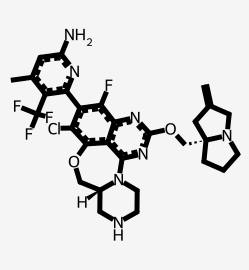 C=C1CN2CCC[C@@]2(COc2nc3c4c(c(Cl)c(-c5nc(N)cc(C)c5C(F)(F)F)c(F)c4n2)OC[C@H]2CNCCN32)C1